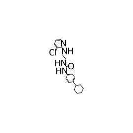 O=C(NCCNc1ncccc1Cl)Nc1ccc(C2CCCCC2)cc1